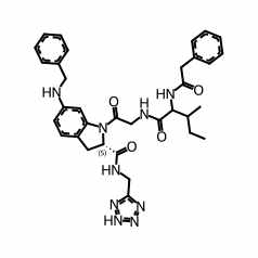 CCC(C)C(NC(=O)Cc1ccccc1)C(=O)NCC(=O)N1c2cc(NCc3ccccc3)ccc2C[C@H]1C(=O)NCc1nn[nH]n1